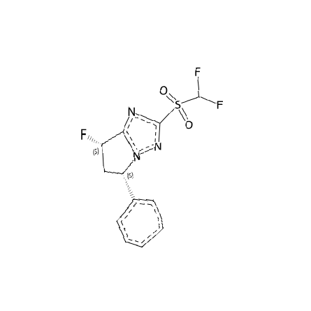 O=S(=O)(c1nc2n(n1)[C@H](c1ccccc1)C[C@@H]2F)C(F)F